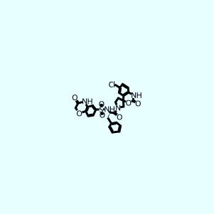 O=C1COc2ccc(S(=O)(=O)N[C@@H](Cc3ccccc3)C(=O)N3CCC4(C3)OC(=O)Nc3ccc(Cl)cc34)cc2N1